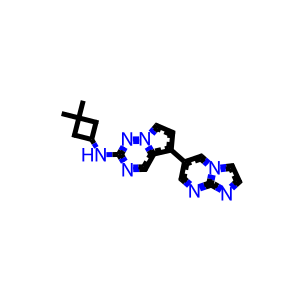 CC1(C)CC(Nc2ncc3c(-c4cnc5nccn5c4)ccn3n2)C1